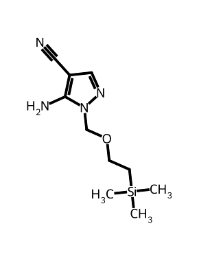 C[Si](C)(C)CCOCn1ncc(C#N)c1N